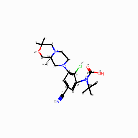 CC1(C)CN2CCN(c3cc(C#N)cc(N(C(=O)O)C(C)(C)C)c3Cl)C[C@H]2CO1